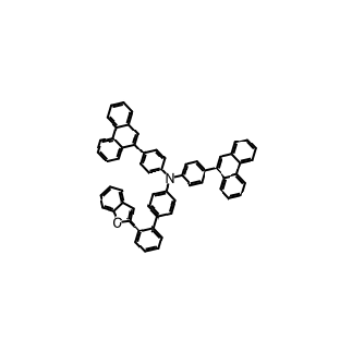 c1ccc(-c2cc3ccccc3o2)c(-c2ccc(N(c3ccc(-c4cc5ccccc5c5ccccc45)cc3)c3ccc(-c4cc5ccccc5c5ccccc45)cc3)cc2)c1